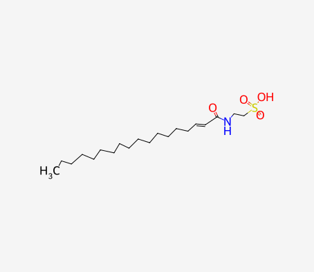 CCCCCCCCCCCCCCC/C=C/C(=O)NCCS(=O)(=O)O